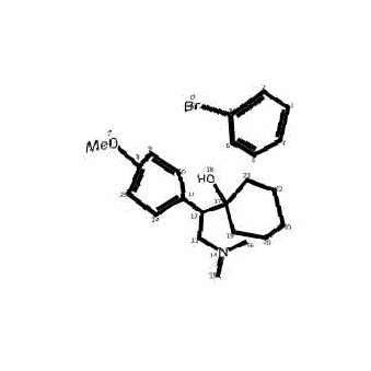 Brc1ccccc1.COc1ccc(C(CN(C)C)C2(O)CCCCC2)cc1